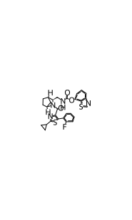 O=C(NC[C@@H]1[C@H]2CC[C@H](C2)N1C(=O)c1nc(C2CC2)sc1-c1ccccc1F)Oc1cccc2ncsc12